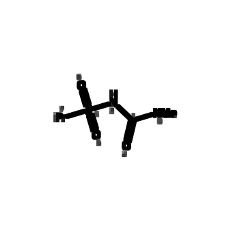 CNC(=O)NS(=O)(=O)C(C)C